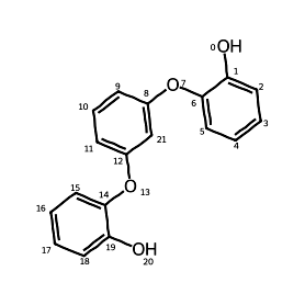 Oc1ccccc1Oc1cccc(Oc2ccccc2O)c1